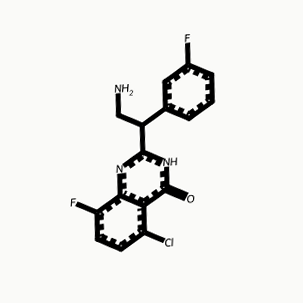 NCC(c1cccc(F)c1)c1nc2c(F)ccc(Cl)c2c(=O)[nH]1